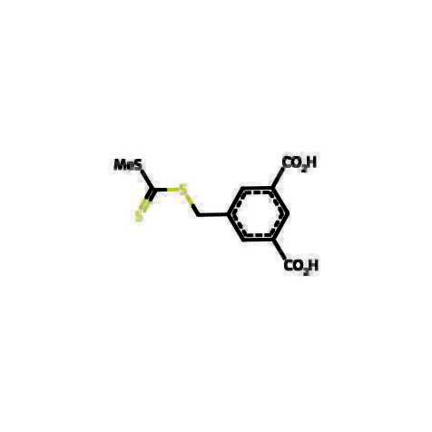 CSC(=S)SCc1cc(C(=O)O)cc(C(=O)O)c1